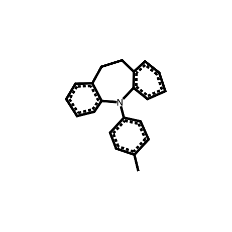 Cc1ccc(N2c3ccccc3CCc3ccccc32)cc1